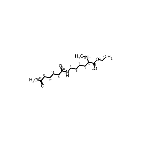 CCOC(=O)C(CCCCNC(=O)CCCCC(C)=O)NC